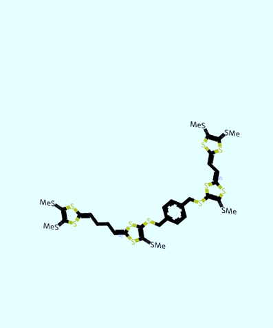 CSC1=C(SC)SC(=C/C=C2/SC(SC)=C(SCc3ccc(CSC4=C(SC)S/C(=C/CCC=C5SC(SC)=C(SC)S5)S4)cc3)S2)S1